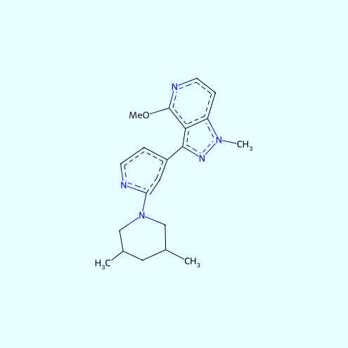 COc1nccc2c1c(-c1ccnc(N3CC(C)CC(C)C3)c1)nn2C